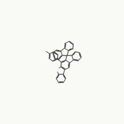 Clc1ccc(-c2c3c(cc4c2oc2ccccc24)-c2ccccc2C32c3ccccc3-c3ccccc32)cc1